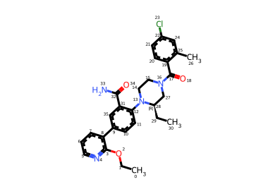 CCOc1ncccc1-c1ccc(N2CCN(C(=O)c3ccc(Cl)cc3C)C[C@H]2CC)c(C(N)=O)c1